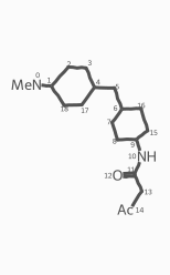 CNC1CCC(CC2CCC(NC(=O)CC(C)=O)CC2)CC1